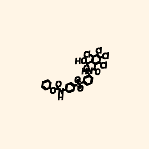 O=C(Nc1ccc(S(=O)(=O)c2cccc(NC(=O)c3c(Cl)c(Cl)c(Cl)c(Cl)c3C(=O)O)c2)cc1)Oc1ccccc1